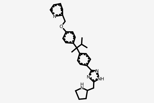 CC(C)C(C)(c1ccc(OCc2ccccn2)cc1)c1ccc(-c2n[nH]c(CC3CCCN3)n2)cc1